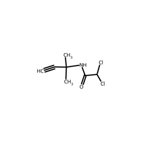 C#CC(C)(C)NC(=O)C(Cl)Cl